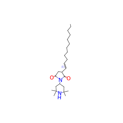 CCCCCCCCCC/C=C/C1CC(=O)N(C2CC(C)(C)NC(C)(C)C2)C1=O